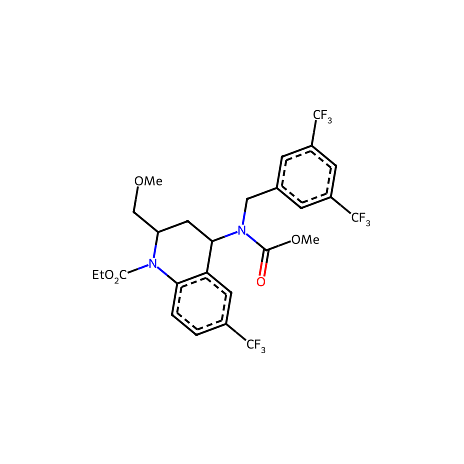 CCOC(=O)N1c2ccc(C(F)(F)F)cc2C(N(Cc2cc(C(F)(F)F)cc(C(F)(F)F)c2)C(=O)OC)CC1COC